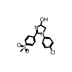 CS(=O)(=O)c1ccc(C2=NC(O)CN2c2ccc(Cl)cc2)cc1